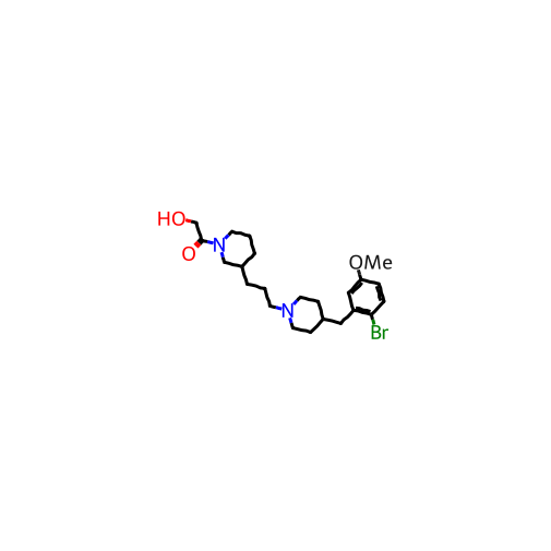 COc1ccc(Br)c(CC2CCN(CCCC3CCCN(C(=O)CO)C3)CC2)c1